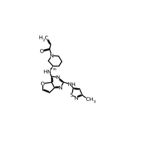 C=CC(=O)N1CCC[C@@H](Nc2nc(Nc3cc(C)ns3)nc3ccoc23)C1